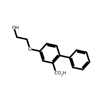 O=C(O)c1cc(OCCO)ccc1-c1ccccc1